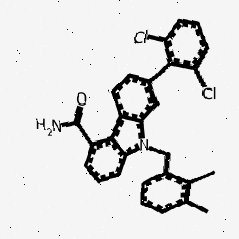 Cc1cccc(Cn2c3cc(-c4c(Cl)cccc4Cl)c[c]c3c3c(C(N)=O)cccc32)c1C